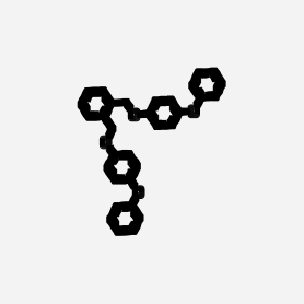 c1ccc(Oc2ccc(OCc3ccccc3COc3ccc(Oc4ccccc4)cc3)cc2)cc1